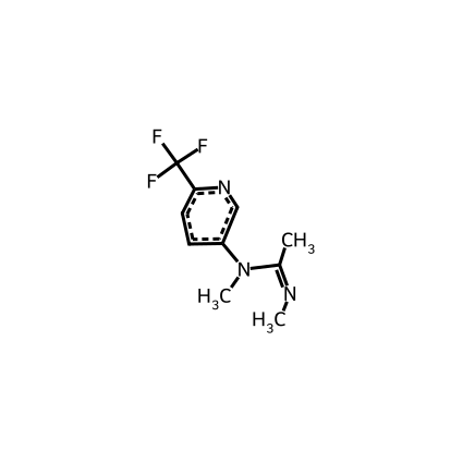 C/N=C(/C)N(C)c1ccc(C(F)(F)F)nc1